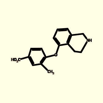 Cc1cc(C(=O)O)ccc1Oc1cccc2c1CCNC2